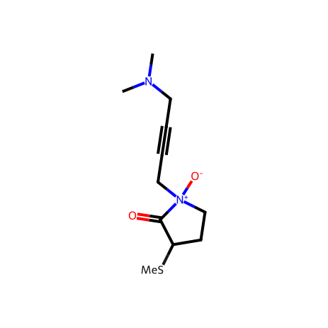 CSC1CC[N+]([O-])(CC#CCN(C)C)C1=O